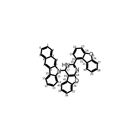 c1ccc2cc3c(cc2c1)c1ccccc1n3C1NC(c2cccc3oc4ccccc4c23)=Nc2oc3ccccc3c21